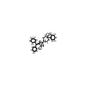 O=C1N=C(N2CCC3(CC2)OCc2ccccc23)SC1=C(c1ccccc1)c1ccccc1